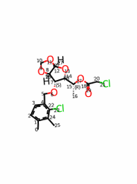 Cc1ccc(CO[C@@H]2[C@H]3OCO[C@H]3O[C@@H]2[C@@H](C)OC(=O)CCl)c(Cl)c1C